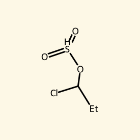 CCC(Cl)O[SH](=O)=O